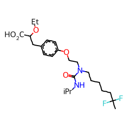 CCOC(Cc1ccc(OCCN(CCCCCC(C)(F)F)C(=O)NC(C)C)cc1)C(=O)O